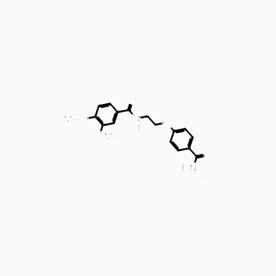 COc1ccc(C(=O)NCCOc2ccc(C(=O)NO)cc2)cc1OC